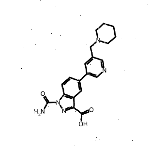 NC(=O)n1nc(C(=O)O)c2cc(-c3cncc(CN4CCCCC4)c3)ccc21